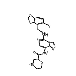 O=C(Nc1cnc(NCc2c(F)ccc3c2CCO3)n2cnnc12)C1CNCCO1